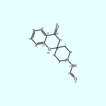 O=CBN1CCC2(CC1)CC(=O)c1ccccc1O2